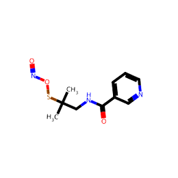 CC(C)(CNC(=O)c1cccnc1)SON=O